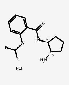 Cl.N[C@H]1CCC[C@@H]1NC(=O)c1ccccc1OC(F)F